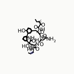 C/C=C\NC(=O)[C@H]1NC(=O)[C@H](CC(N)=O)NC(=O)[C@@H](NC(=O)C(=O)[C@@H](C)CC)Cc2ccc(O)c(c2)-c2cccc3c2NC(=O)[C@@]3(O)[C@H]1O